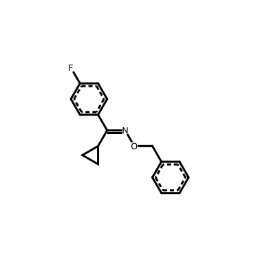 Fc1ccc(C(=NOCc2ccccc2)C2CC2)cc1